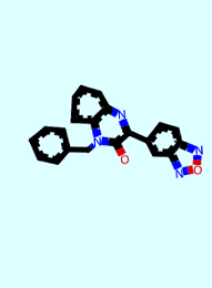 O=c1c(-c2ccc3nonc3c2)nc2ccccc2n1Cc1ccccc1